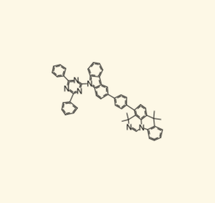 CC1(C)N=CN2c3ccccc3C(C)(C)c3ccc(-c4ccc(-c5ccc6c(c5)c5ccccc5n6-c5nc(-c6ccccc6)nc(-c6ccccc6)n5)cc4)c1c32